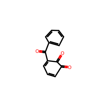 O=C1C=CC=C(C(=O)c2ccccc2)C1=O